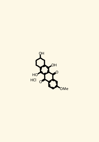 COc1ccc2c(c1)C(=O)c1c(O)c3c(c(O)c1C2=O)CCC(O)C3.Cl